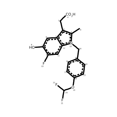 Cc1c(CC(=O)O)c2cc(O)c(F)cc2n1Cc1ccc(OC(F)F)cc1